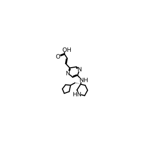 O=C(O)/C=C/c1cnc(N[C@@]2(CC3CCCC3)CCCNC2)cn1